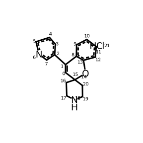 C1=C(c2cccnc2)c2ccccc2OC12CCNCC2.Cl